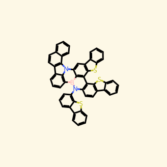 c1ccc2c(c1)ccc1c3cccc4c3n(c21)-c1cc2c(sc3ccccc32)c2c1B4N(c1cccc3c1sc1ccccc13)c1ccc3c(sc4ccccc43)c1-2